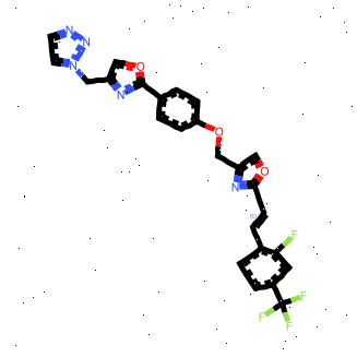 Fc1cc(C(F)(F)F)ccc1/C=C/c1nc(COc2ccc(-c3nc(Cn4ccnn4)co3)cc2)co1